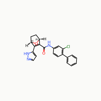 O=C(Nc1ccc(-c2ccccc2)c(Cl)c1)C1=C(c2ccn[nH]2)[C@@H]2CC[C@H]1O2